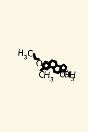 CCCCOc1cc2c(cc1CC)C1CC[C@@]3(C)C(CC[C@@H]3O)C1CC2